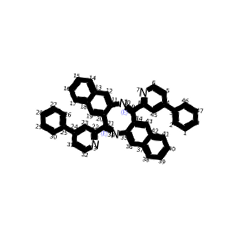 c1ccc(-c2ccnc(/C3=N/c4cc5ccccc5cc4/C(c4cc(-c5ccccc5)ccn4)=N\c4cc5ccccc5cc43)c2)cc1